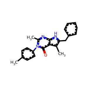 Cc1ccc(-n2c(C)nc3[nH]c(Cc4ccccc4)c(C)c3c2=O)cc1